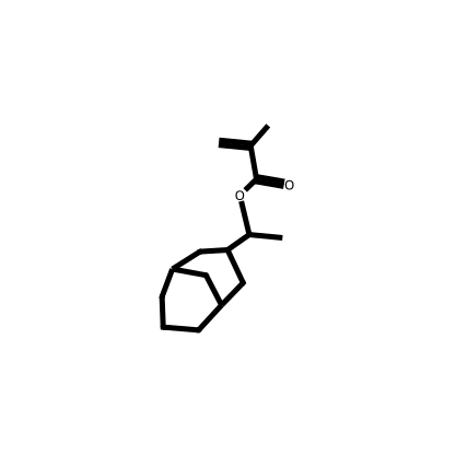 C=C(C)C(=O)OC(C)C1CC2CCCC(C2)C1